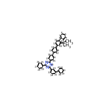 C[Si]1(C)c2ccccc2-c2ccc(-c3ccc(-c4ccc(-c5nc(-c6ccccc6)nc(-c6cccc(-c7ccccc7)c6)n5)cc4)cc3)cc21